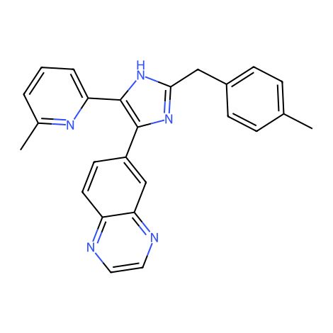 Cc1ccc(Cc2nc(-c3ccc4nccnc4c3)c(-c3cccc(C)n3)[nH]2)cc1